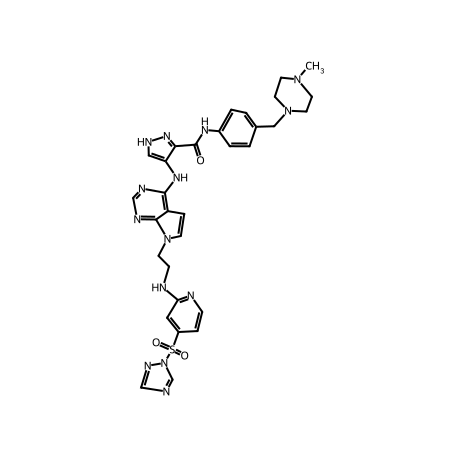 CN1CCN(Cc2ccc(NC(=O)c3n[nH]cc3Nc3ncnc4c3ccn4CCNc3cc(S(=O)(=O)n4cncn4)ccn3)cc2)CC1